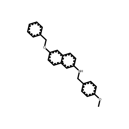 COc1ccc(CNc2ccc3cc(OCc4ccccc4)ccc3c2)cc1